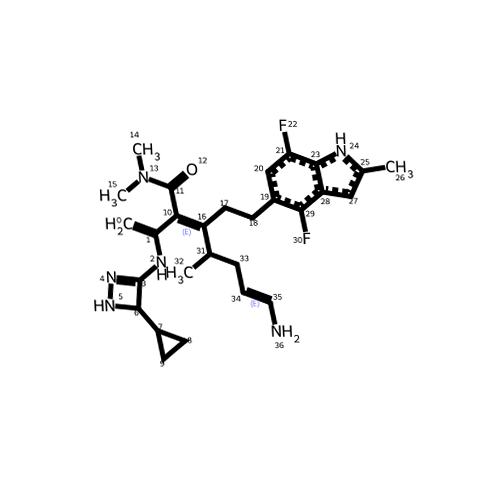 C=C(NC1=NNC1C1CC1)/C(C(=O)N(C)C)=C(/CCc1cc(F)c2[nH]c(C)cc2c1F)C(C)C/C=C/N